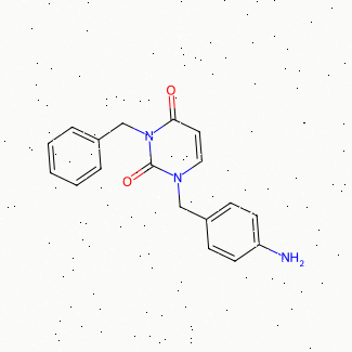 Nc1ccc(Cn2ccc(=O)n(Cc3ccccc3)c2=O)cc1